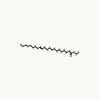 CCCCCCCC/C=C/CCCCCCCCCCCC(=O)OCC